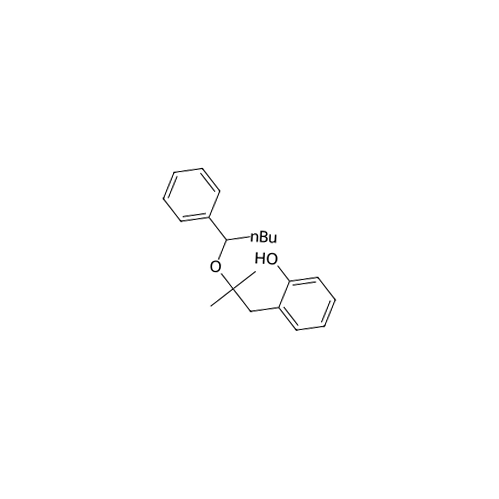 CCCCC(OC(C)(C)Cc1ccccc1O)c1ccccc1